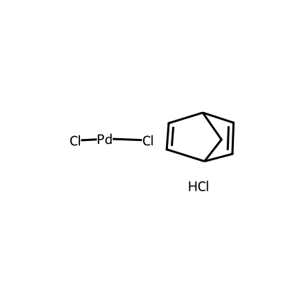 C1=CC2C=CC1C2.Cl.[Cl][Pd][Cl]